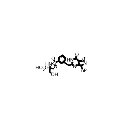 CCCc1nn(C)c2c(=O)[nH]c(Cc3cccc(S(=O)(=O)N[C@@](C)(CO)C(=O)O)c3)nc12